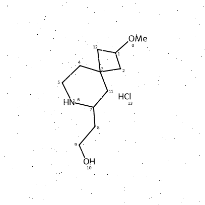 COC1CC2(CCNC(CCO)C2)C1.Cl